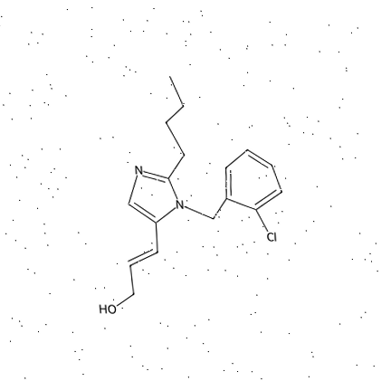 CCCCc1ncc(C=CCO)n1Cc1ccccc1Cl